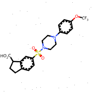 O=C(O)C1CCc2ccc(S(=O)(=O)N3CCN(c4ccc(OC(F)(F)F)cc4)CC3)cc21